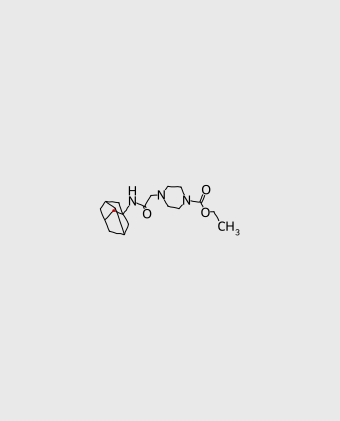 CCOC(=O)N1CCN(CC(=O)NC23CC4CC(CC(C4)C2)C3)CC1